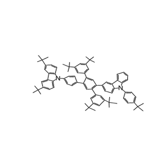 CC(C)(C)c1ccc(-n2c3ccccc3c3cc(-c4cc(-c5cc(C(C)(C)C)cc(C(C)(C)C)c5)c(-c5ccc(-n6c7ccc(C(C)(C)C)cc7c7cc(C(C)(C)C)ccc76)cc5)cc4-c4cc(C(C)(C)C)cc(C(C)(C)C)c4)ccc32)cc1